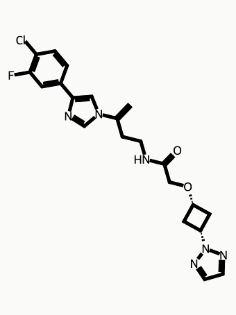 C=C(CCNC(=O)CO[C@H]1C[C@@H](n2nccn2)C1)n1cnc(-c2ccc(Cl)c(F)c2)c1